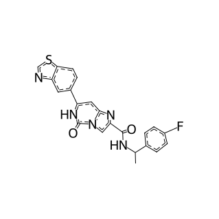 CC(NC(=O)c1cn2c(=O)[nH]c(-c3ccc4scnc4c3)cc2n1)c1ccc(F)cc1